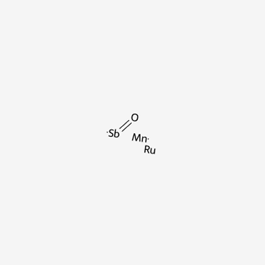 [Mn].[O]=[Sb].[Ru]